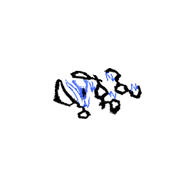 CC1(C)c2ccccc2N(c2cc(-c3ccccn3)cc(-c3ccccn3)c2)c2cc3c(cc21)N(c1nc(-c2ccccc2)cc(-c2ccccc2)n1)c1ccccc1C3(C)C